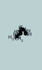 CC1(C)COC(Nc2cccc3c(-c4nc(NC5CCCNC5)ncc4C(F)(F)F)c[nH]c23)=N1